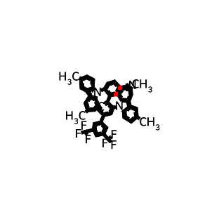 Cc1ccc2c(c1)c1cc(C)ccc1n2-c1ccc(C#N)cc1-c1ccc(-c2cc(C(F)(F)F)cc(C(F)(F)F)c2)cc1-n1c2ccc(C)cc2c2cc(C)ccc21